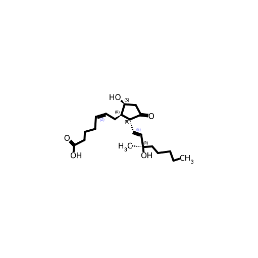 CCCCC[C@@](C)(O)/C=C/[C@H]1C(=O)C[C@H](O)[C@@H]1C/C=C\CCCC(=O)O